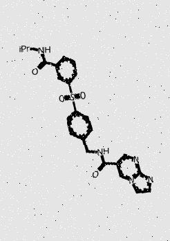 CC(C)NC(=O)c1cccc(S(=O)(=O)c2ccc(CNC(=O)c3cnc4nccn4c3)cc2)c1